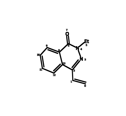 C=Cc1nn(CC)c(=O)c2ccccc12